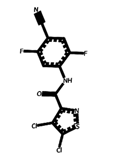 N#Cc1cc(F)c(NC(=O)c2nsc(Cl)c2Cl)cc1F